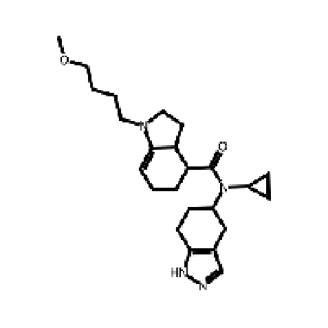 COCCCCN1CCC2C1=CCCC2C(=O)N(C1CC1)C1CCc2[nH]ncc2C1